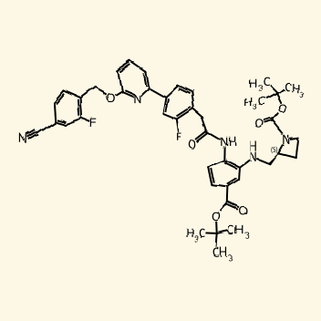 CC(C)(C)OC(=O)c1ccc(NC(=O)Cc2ccc(-c3cccc(OCc4ccc(C#N)cc4F)n3)cc2F)c(NC[C@@H]2CCN2C(=O)OC(C)(C)C)c1